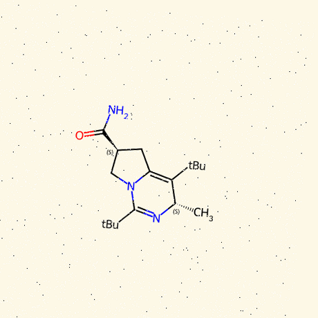 C[C@@H]1N=C(C(C)(C)C)N2C[C@@H](C(N)=O)CC2=C1C(C)(C)C